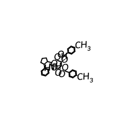 Cc1ccc(C(=O)O[C@H](C(=O)O)[C@H](OC(=O)c2ccc(C)cc2)C(=O)O)cc1.c1ccc2c(c1)NCC1CCCC21